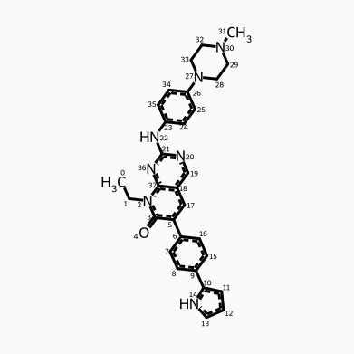 CCn1c(=O)c(-c2ccc(-c3ccc[nH]3)cc2)cc2cnc(Nc3ccc(N4CCN(C)CC4)cc3)nc21